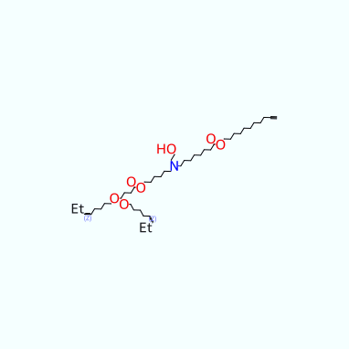 C#CCCCCCCCCCOC(=O)CCCCCCCN(CCO)CCCCCCOC(=O)CCC(OCCCC/C=C\CC)OCCCC/C=C\CC